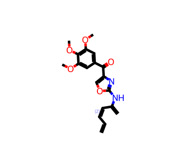 C=C/C=C\C(=C)Nc1nc(C(=O)c2cc(OC)c(OC)c(OC)c2)co1